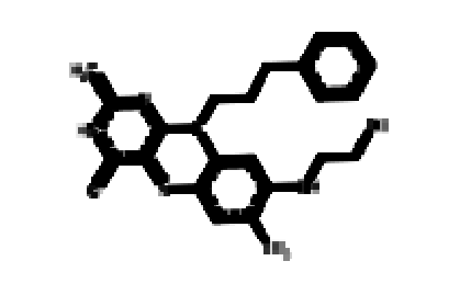 C=c1nc2c(c(=O)[nH]1)=Nc1cc(C)c(NCCO)cc1N2CCCc1ccccc1